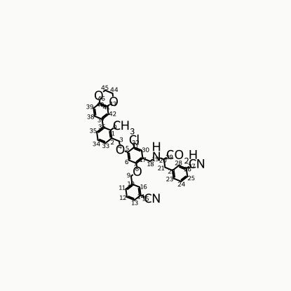 Cc1c(COc2cc(OCc3cccc(C#N)c3)c(CNC(Cc3cccc(C#N)c3)C(=O)O)cc2Cl)cccc1-c1ccc2c(c1)OCCO2